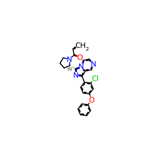 C=CC(=O)N1CCC[C@H]1c1nc(-c2ccc(Oc3ccccc3)cc2Cl)c2cnccn12